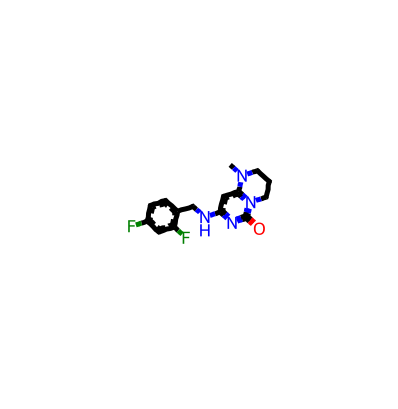 CN1CCCn2c1cc(NCc1ccc(F)cc1F)nc2=O